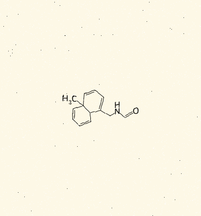 CC12C=CC=CC1C(CNC=O)=CC=C2